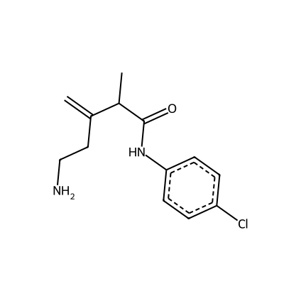 C=C(CCN)C(C)C(=O)Nc1ccc(Cl)cc1